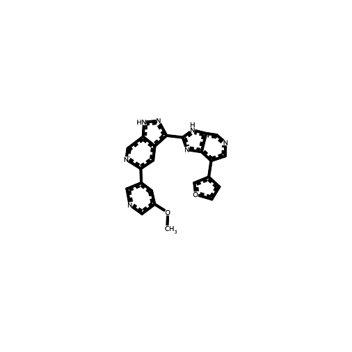 COc1cncc(-c2cc3c(-c4nc5c(-c6ccoc6)cncc5[nH]4)n[nH]c3cn2)c1